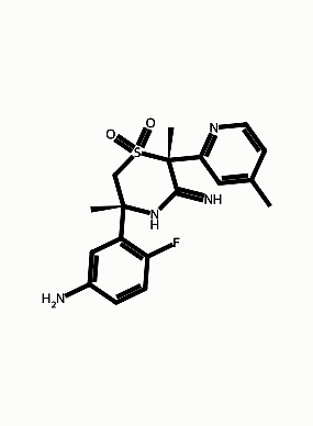 Cc1ccnc([C@]2(C)C(=N)N[C@](C)(c3cc(N)ccc3F)CS2(=O)=O)c1